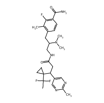 Cc1ncc(C(CC(=O)NCC(Cc2ccc(C(N)=O)c(F)c2C)N(C)C)C2(C(F)(F)F)CC2)cn1